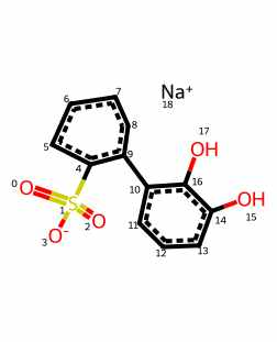 O=S(=O)([O-])c1ccccc1-c1cccc(O)c1O.[Na+]